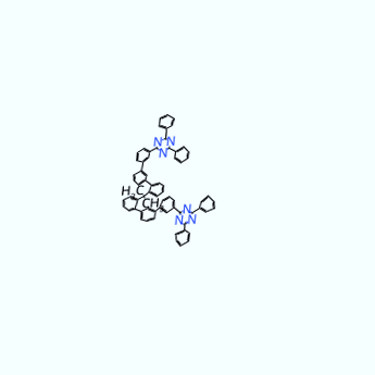 CC(C)(c1ccccc1-c1cccc(-c2cccc(-c3nc(-c4ccccc4)nc(-c4ccccc4)n3)c2)c1)c1ccccc1-c1cccc(-c2cccc(-c3nc(-c4ccccc4)nc(-c4ccccc4)n3)c2)c1